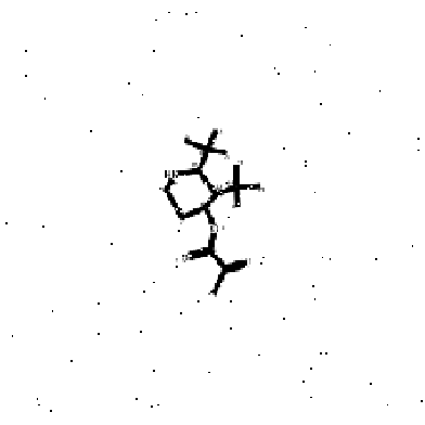 C=C(C)C(=O)OC1CCNC(C(C)(C)C)C1C(C)(C)C